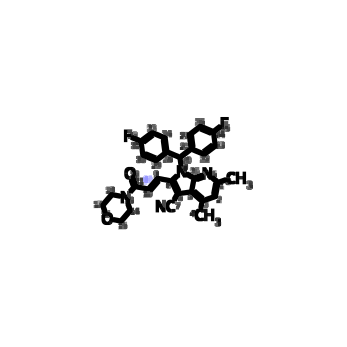 Cc1cc(C)c2c(C#N)c(/C=C/C(=O)N3CCOCC3)n(C(c3ccc(F)cc3)c3ccc(F)cc3)c2n1